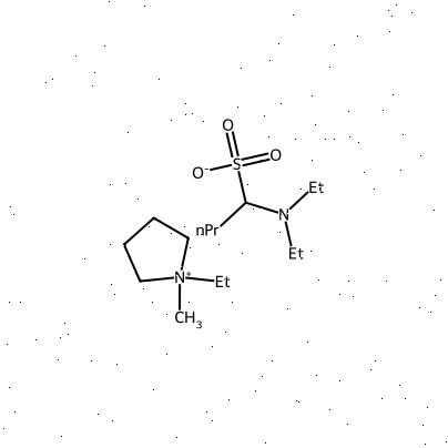 CCCC(N(CC)CC)S(=O)(=O)[O-].CC[N+]1(C)CCCC1